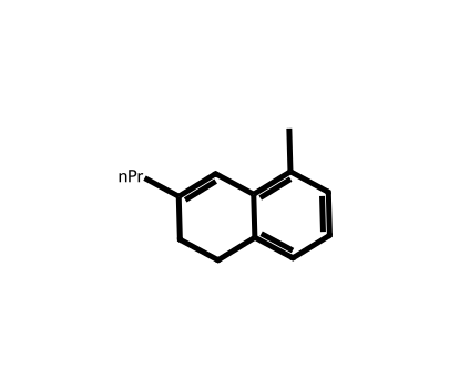 CCCC1=Cc2c(C)cccc2CC1